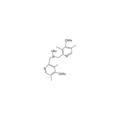 CCCCN(Cc1ncc(C)c(OC)c1C)Cc1ncc(C)c(OC)c1C